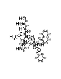 CC(C)CC(NC(=O)[C@H](Cc1c[nH]cn1)NC(=O)[C@H](Cc1cccc2ccccc12)NC(=O)OCc1ccccc1)C(O)CC(=O)NCC(O)CO